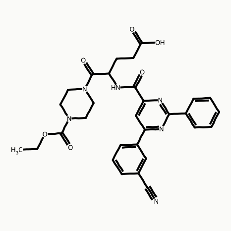 CCOC(=O)N1CCN(C(=O)C(CCC(=O)O)NC(=O)c2cc(-c3cccc(C#N)c3)nc(-c3ccccc3)n2)CC1